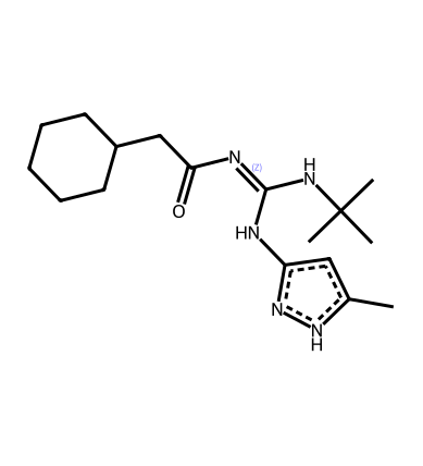 Cc1cc(N/C(=N\C(=O)CC2CCCCC2)NC(C)(C)C)n[nH]1